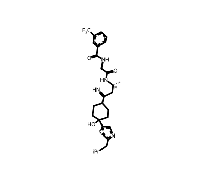 CC(C)Cc1ncc(C2(O)CCC(C(=N)C[C@@H](C)NC(=O)CNC(=O)c3cccc(C(F)(F)F)c3)CC2)s1